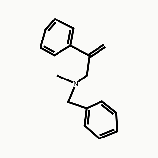 C=C(CN(C)Cc1ccccc1)c1ccccc1